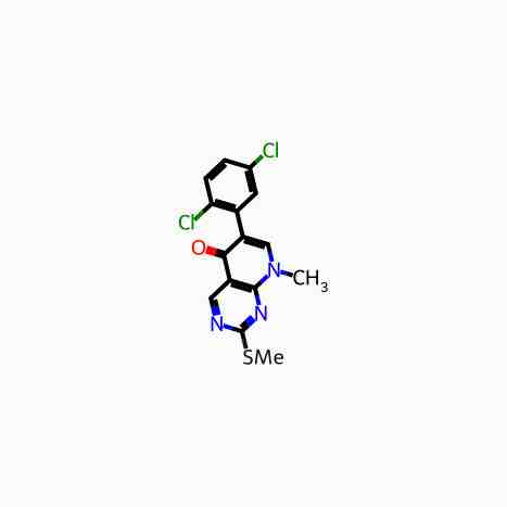 CSc1ncc2c(=O)c(-c3cc(Cl)ccc3Cl)cn(C)c2n1